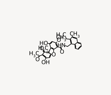 CCc1c(C)cc2ccccc2c1CNC(=O)c1c(OC)cc(O)c2c1OC1=CC(O)=C(C(C)=O)C(=O)[C@]12C